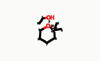 CCO.C[Si]1(C)CCCCO1